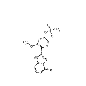 COc1cc(OS(C)(=O)=O)ccc1-c1nc2c(ccc[n+]2[O-])[nH]1